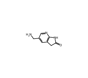 NCc1cnc2c(c1)CC(=O)N2